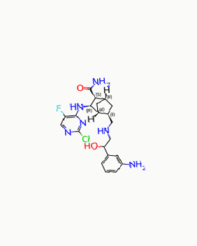 NC(=O)[C@H]1[C@@H]2C[C@@H](CNCC(O)c3cccc(N)c3)[C@@H](C2)[C@H]1Nc1nc(Cl)ncc1F